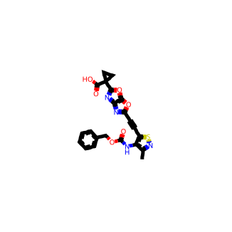 Cc1nsc(C#Cc2nc3nc(C4(C(=O)O)CC4)oc3o2)c1NC(=O)OCc1ccccc1